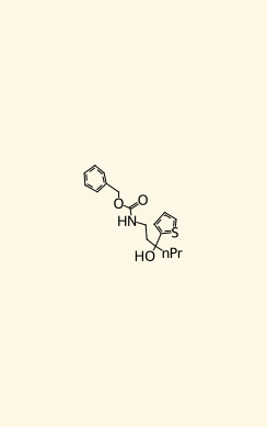 CCCC(O)(CCNC(=O)OCc1ccccc1)c1cccs1